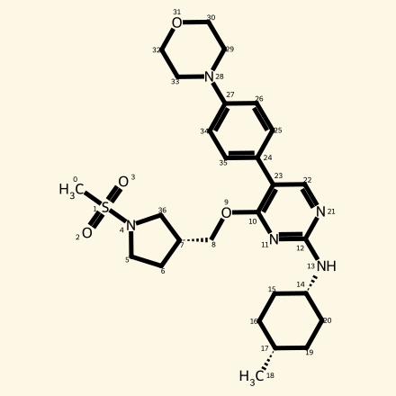 CS(=O)(=O)N1CC[C@@H](COc2nc(N[C@H]3CC[C@@H](C)CC3)ncc2-c2ccc(N3CCOCC3)cc2)C1